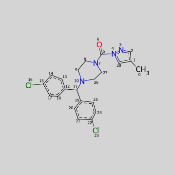 Cc1cnn(C(=O)N2CCN(C(c3ccc(Cl)cc3)c3ccc(Cl)cc3)CC2)c1